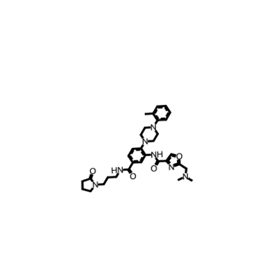 Cc1ccccc1N1CCN(c2ccc(C(=O)NCCCN3CCCC3=O)cc2NC(=O)c2coc(CN(C)C)n2)CC1